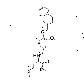 CNC(=O)C(CCSC)NCc1ccc(OCc2ccc3ccccc3c2)c(OC)c1